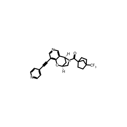 O=C(N1C[C@@H]2C[C@H]1c1cncc(C#Cc3ccncc3)c1O2)C12CCC(C(F)(F)F)(CC1)C2